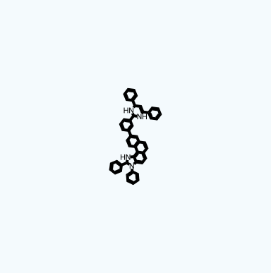 C1=C(c2ccccc2)NC(c2cccc(-c3ccc4c(ccc5ccc6c(c54)NC(c4ccccc4)N6c4ccccc4)c3)c2)NC1c1ccccc1